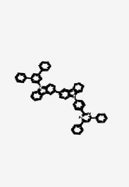 c1ccc(-c2cc(-c3ccccc3)cc(-n3c4ccccc4c4cc(-c5ccc6c(c5)c5ccccc5n6-c5ccc(-c6nc(-c7ccccc7)cc(-c7ccccc7)n6)cc5)ccc43)c2)cc1